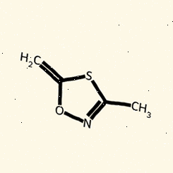 C=C1ON=C(C)S1